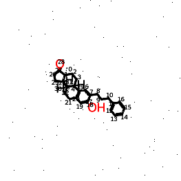 C[C@]12CC[C@@H]3c4cc(CCCc5ccccc5)c(O)cc4CC[C@H]3[C@@H]1CCC2=O